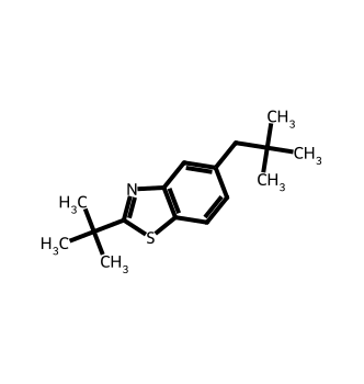 CC(C)(C)Cc1ccc2sc(C(C)(C)C)nc2c1